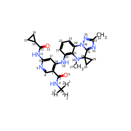 [2H]C([2H])([2H])NC(=O)c1cnc(NC(=O)C2CC2)cc1Nc1cccc2c1N(C)C1(CC1)c1nc(C)nn1-2